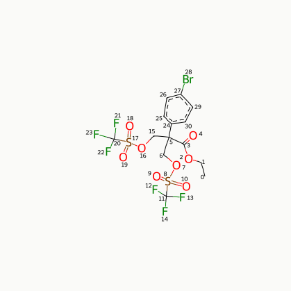 CCOC(=O)C(COS(=O)(=O)C(F)(F)F)(COS(=O)(=O)C(F)(F)F)c1ccc(Br)cc1